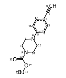 C#Cc1ccc(N2CCN(C(=O)OC(C)(C)C)CC2)cc1